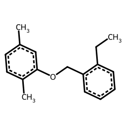 CCc1ccccc1COc1cc(C)ccc1C